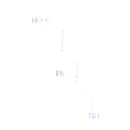 NCCCCCC(=O)O.[Rb]